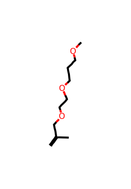 C=C(C)COCCOCCCOC